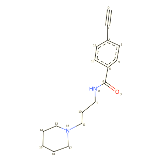 C#Cc1ccc(C(=O)NCCCN2CCCCC2)cc1